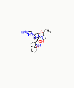 C[C@H](Oc1cc(N/C=C\N=N)nc(/C(O)=C2\CCC[C@@]3(CCCCC3=O)C2=N)n1)[C@@H]1CCCN1C